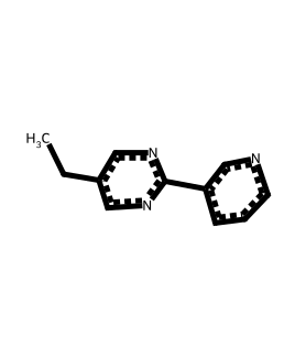 CCc1cnc(-c2cccnc2)nc1